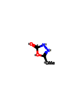 COC1=N[N]C(=O)O1